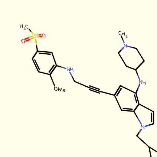 COc1ccc(S(C)(=O)=O)cc1NCC#Cc1cc(NC2CCN(C)CC2)c2ccn(CC3CC3)c2c1